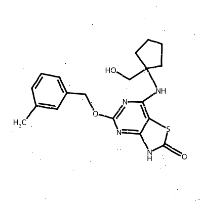 Cc1cccc(COc2nc(NC3(CO)CCCC3)c3sc(=O)[nH]c3n2)c1